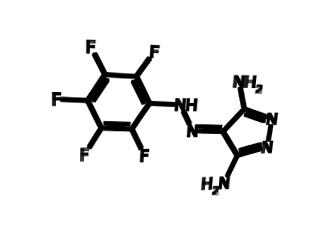 NC1=NN=C(N)C1=NNc1c(F)c(F)c(F)c(F)c1F